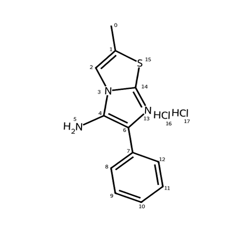 Cc1cn2c(N)c(-c3ccccc3)nc2s1.Cl.Cl